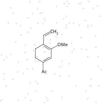 C=CC1=C(OC)C=C(C(C)=O)CC1